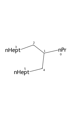 [CH2]CCC(CCCCCCCC)CCCCCCCC